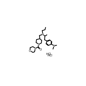 CCCN(CC1CCN(C(=O)N2CCOCC2)CC1)C(C)Cc1ccc(N(C)C)cc1.Cl.Cl